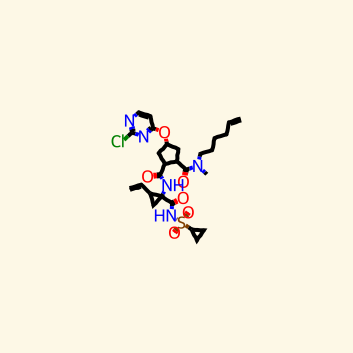 C=CCCCCN(C)C(=O)C1CC(Oc2ccnc(Cl)n2)CC1C(=O)NC1(C(=O)NS(=O)(=O)C2CC2)CC1C=C